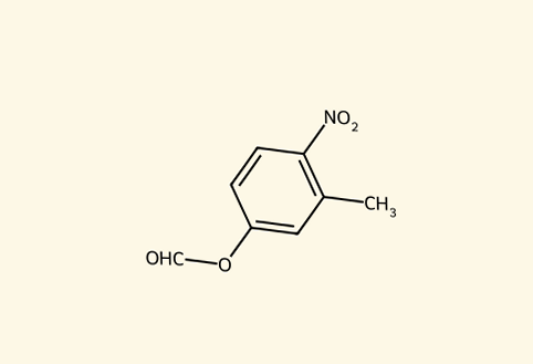 Cc1cc(OC=O)ccc1[N+](=O)[O-]